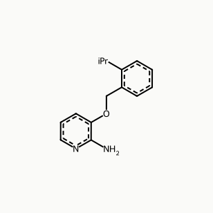 CC(C)c1ccccc1COc1cccnc1N